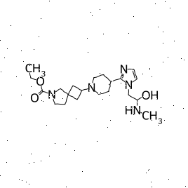 CCOC(=O)N1CCC2(CC(N3CCC(c4nccn4CC(O)NC)CC3)C2)C1